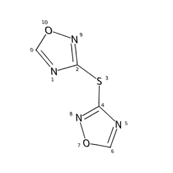 c1nc(Sc2ncon2)no1